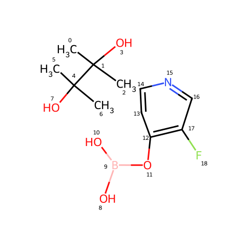 CC(C)(O)C(C)(C)O.OB(O)Oc1ccncc1F